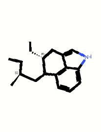 CC[C@H](C)CC1c2cccc3[nH]cc(c23)C[C@H]1CC